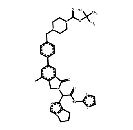 CC(C)(C)OC(=O)N1CCN(Cc2ccc(-c3cc(F)c4c(c3)C(=O)N(C(C(=O)Nc3nccs3)c3ncn5c3CCC5)C4)cc2)CC1